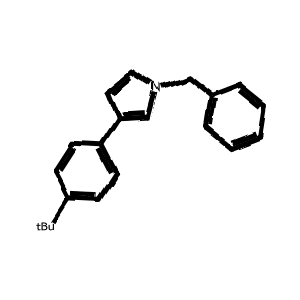 CC(C)(C)c1ccc(-c2ccn(Cc3ccccc3)c2)cc1